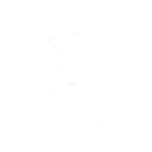 CCOP(=O)(OCC)C(CC(C)C)C(=O)Nc1ccc(C)cc1